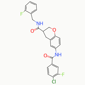 O=C(Nc1ccc2c(c1)CC(C(=O)NCc1ccccc1F)CO2)c1ccc(Cl)c(F)c1